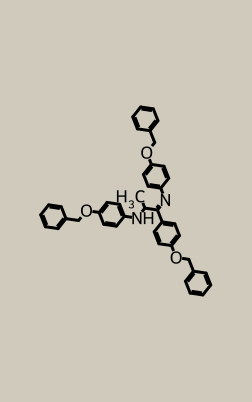 CC(Nc1ccc(OCc2ccccc2)cc1)/C(=N\c1ccc(OCc2ccccc2)cc1)c1ccc(OCc2ccccc2)cc1